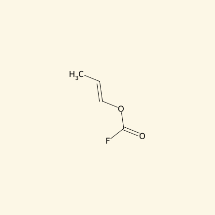 CC=COC(=O)F